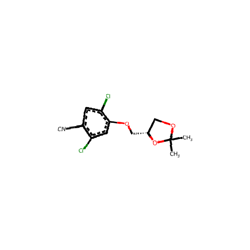 [C-]#[N+]c1cc(Cl)c(OC[C@@H]2COC(C)(C)O2)cc1Cl